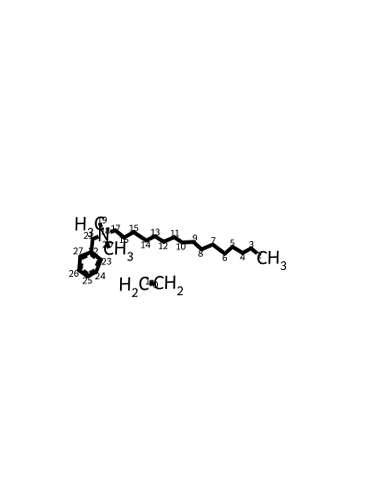 C=C.CCCCCCCCCCCCCCCC[N+](C)(C)Cc1ccccc1